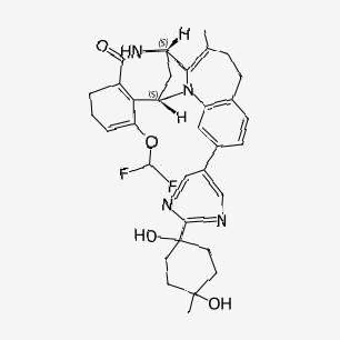 CC1=C2[C@@H]3C[C@@H](C4=C(CCC=C4OC(F)F)C(=O)N3)N2c2cc(-c3cnc(C4(O)CCC(C)(O)CC4)nc3)ccc2CC1